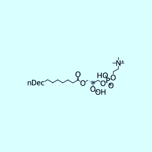 CCCCCCCCCCCCCCCCC(=O)OC[C@H](COP(=O)(O)OCC[N+](C)(C)C)OO